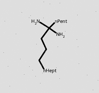 CCCCCCCCCCC(N)(N)CCCCC